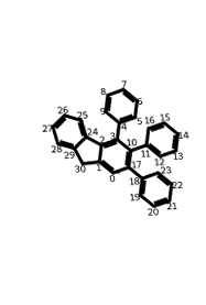 [c]1c2c(c(-c3ccccc3)c(-c3ccccc3)c1-c1ccccc1)-c1ccccc1C2